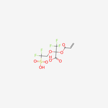 C=CC(=O)OC(OCC(F)(F)S(=O)(=O)O)(C(=O)O)C(F)(F)F